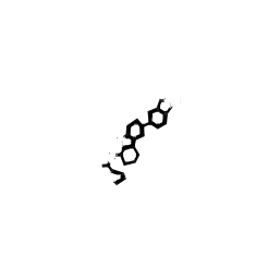 CC(NC1CCCc2c1[nH]c1ccc(-c3ccc4c(c3)CNC4)cc21)c1cccs1